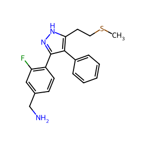 CSCCc1[nH]nc(-c2ccc(CN)cc2F)c1-c1ccccc1